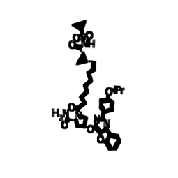 CC(C)Oc1ccc(-c2nc(O[C@@H]3C[C@@H](C(N)=O)N(C(=O)CCCCCC/C=C\[C@@H]4C[C@@H]4C(=O)NS(=O)(=O)C4CC4)C3)c3oc4ccccc4c3n2)cc1